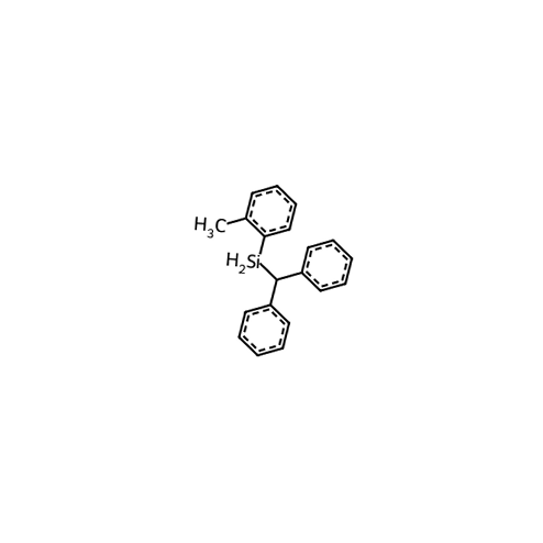 Cc1ccccc1[SiH2]C(c1ccccc1)c1ccccc1